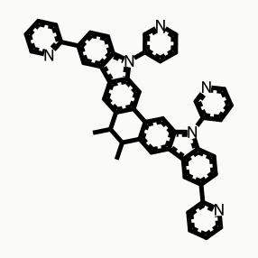 CC1c2cc3c4cc(-c5ccccn5)ccc4n(-c4cccnc4)c3cc2-c2cc3c(cc2C1C)c1cc(-c2ccccn2)ccc1n3-c1cccnc1